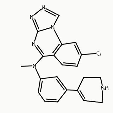 CN(c1cccc(C2=CCNCC2)c1)c1nc2nncn2c2cc(Cl)ccc12